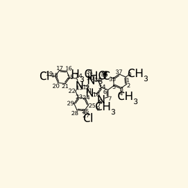 Cc1cc(C)c(-c2cn(C)c3nc(N(Cc4ccc(Cl)cc4)Cc4ccc(Cl)cc4)n(C)c(=O)c23)c(C)c1